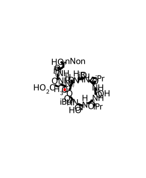 CCCCCCCCC[C@H](O)CC(=O)N[C@@H](CC(C)C)C(=O)N[C@H](CCC(=O)O)C(=O)N[C@H]1C(=O)N[C@H](C(C)CC)C(=O)N[C@@H](CC(C)C)C(=O)N[C@H](CO)C(=O)N[C@@H](CC(C)C)C(=O)N[C@H](CO)C(=O)N[C@@H](C(C)CC)C(=O)OC1C